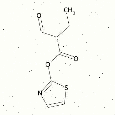 CCC(C=O)C(=O)Oc1nccs1